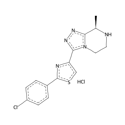 C[C@H]1NCCn2c(-c3csc(-c4ccc(Cl)cc4)n3)nnc21.Cl